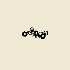 N#CC1(Nc2cccc(Cl)c2)CCN(C(=O)OCc2ccccc2)CC1